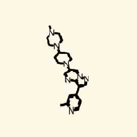 Cc1cc(-c2cnn3cc(N4CCC(N5CCN(C)CC5)CC4)cnc23)ccn1